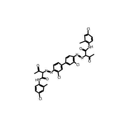 CC(=O)C(N=Nc1ccc(-c2ccc(N=NC(C(C)=O)C(=O)Nc3ccc(Cl)cc3C)c(Cl)c2)cc1Cl)C(=O)Nc1ccc(Cl)cc1C